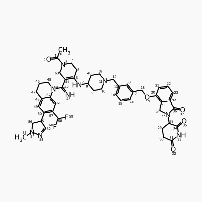 CC(=O)N1CCC(NC2CCN(Cc3cccc(COc4cccc5c4CN(C4CCC(=O)NC4=O)C5=O)c3)CC2)=C(C(=N)N2CCCc3cc(C4C=NN(C)C4)c(C(F)F)cc32)C1